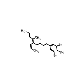 C\C=C/C(CCCC/C(C=CCC)=C/C(CC)CS)=C(C)\C=C\C